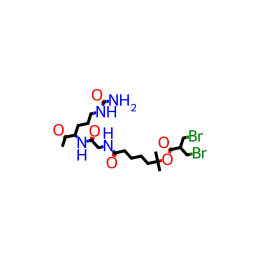 CC(=O)C(CCCNC(N)=O)NC(=O)CNC(=O)CCCCC(C)(C)OC(=O)C(CBr)CBr